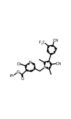 Cc1c(C#N)c(-c2ccc(C#N)c(C(F)(F)F)c2)c(C)n1Cc1cnc(Cl)c(C(=O)OC(C)C)c1